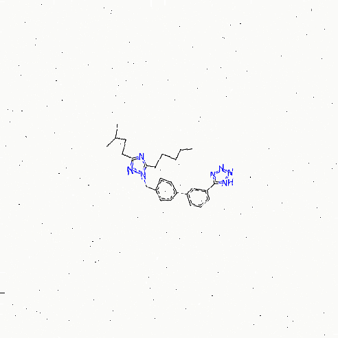 CCCCCc1nc(CCC(C)C)nn1Cc1ccc(-c2cccc(-c3nnn[nH]3)c2)cc1